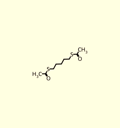 CC(=O)SCCCCCSC(C)=O